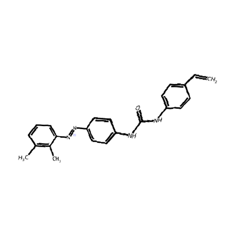 C=Cc1ccc(NC(=O)Nc2ccc(/N=N/c3cccc(C)c3C)cc2)cc1